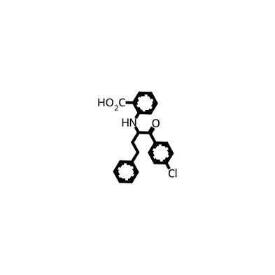 O=C(O)c1ccccc1NC(CCc1ccccc1)C(=O)c1ccc(Cl)cc1